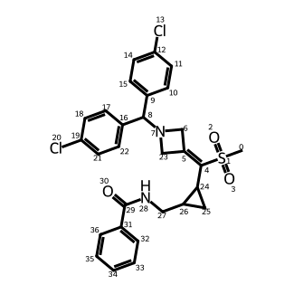 CS(=O)(=O)C(=C1CN(C(c2ccc(Cl)cc2)c2ccc(Cl)cc2)C1)C1CC1CNC(=O)c1ccccc1